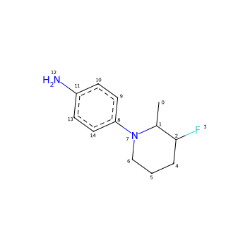 CC1C(F)CCCN1c1ccc(N)cc1